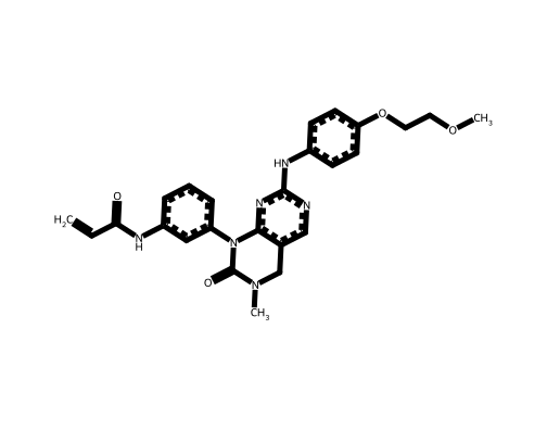 C=CC(=O)Nc1cccc(N2C(=O)N(C)Cc3cnc(Nc4ccc(OCCOC)cc4)nc32)c1